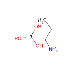 CCCN.OB(O)O